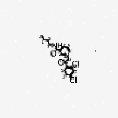 CCCCNC(=O)C1=CC=CN(CC(=O)c2ccc(Cl)cc2Cl)C1